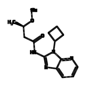 C[C@H](CC(=O)Nc1nc2cccnc2n1C1CCC1)OC(C)(C)C